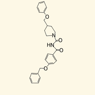 O=C(NC(=O)N1CCC(COc2ccccc2)CC1)c1ccc(OCc2ccccc2)cc1